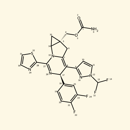 NC(=O)OC[C@]12CC3=C(c4ccn(C(F)F)n4)[C@@H](c4ccc(F)c(F)c4)N=C(c4nccs4)N3C1C2